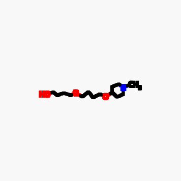 CN1CCC(OCCCCOCCCCO)CC1